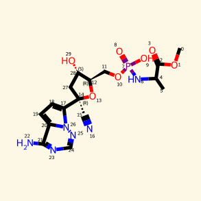 COC(=O)C(C)NP(=O)(O)OC[C@H]1O[C@@](C#N)(c2ccc3c(N)ncnn23)C[C@@H]1O